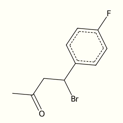 CC(=O)CC(Br)c1ccc(F)cc1